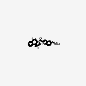 CCCCOc1ccc2[nH]c(C(=O)N3C[C@H]4C[C@@]45C3=CC(=O)c3ccccc35)cc2c1